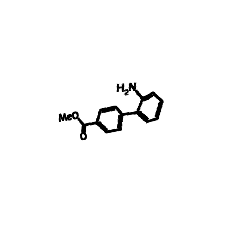 COC(=O)c1ccc(-c2ccccc2N)cc1